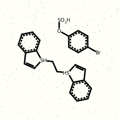 C1=C[SH](CC[SH]2C=Cc3ccccc32)c2ccccc21.O=S(=O)(O)Oc1ccc(Br)cc1